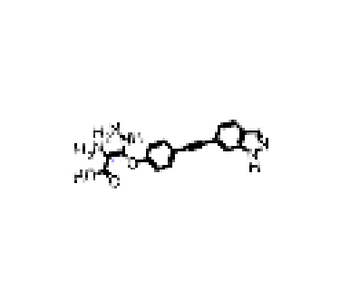 NN/C(Oc1ccc(C#Cc2ccc3cn[nH]c3c2)cc1)=C(\N)C(=O)O